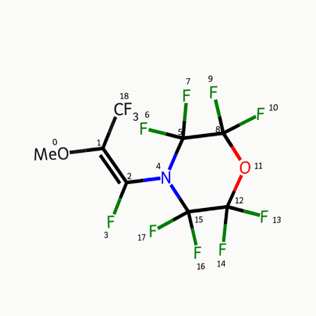 COC(=C(F)N1C(F)(F)C(F)(F)OC(F)(F)C1(F)F)C(F)(F)F